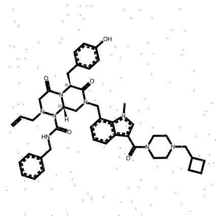 C=CCN1CC(=O)N2[C@@H](Cc3ccc(O)cc3)C(=O)N(Cc3cccc4c(C(=O)N5CCN(CC6CCC6)CC5)cn(C)c34)C[C@@H]2N1C(=O)NCc1ccccc1